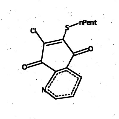 CCCCCSC1=C(Cl)C(=O)c2ncccc2C1=O